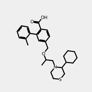 Cc1ccccc1-c1cc(COC(C)CN2CCSCC2C2CCCCC2)ccc1C(=O)O